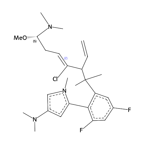 C=CC(/C(Cl)=C/C[C@H](OC)N(C)C)C(C)(C)c1cc(F)cc(F)c1-c1cc(N(C)C)cn1C